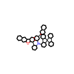 c1cc(-c2ccc3ccccc3c2)cc(N(c2ccccc2-c2cccc3c2oc2cc4ccccc4cc23)c2cccc3c2-c2ccccc2C32c3ccccc3-c3ccccc32)c1